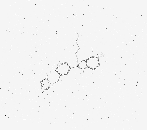 FCCCn1c(-c2cncc(Cn3cncc3Cl)c2)nc2ccc(Br)cc21